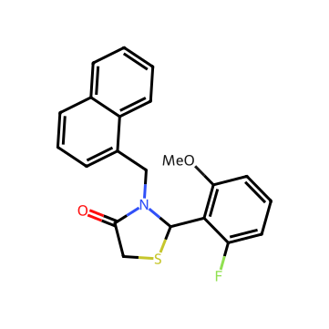 COc1cccc(F)c1C1SCC(=O)N1Cc1cccc2ccccc12